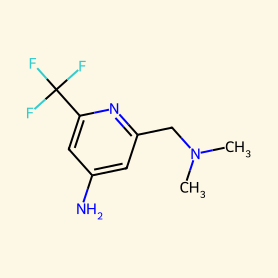 CN(C)Cc1cc(N)cc(C(F)(F)F)n1